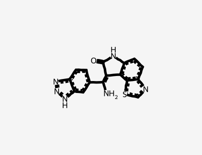 N/C(=C1/C(=O)Nc2ccc3ncsc3c21)c1ccc2nn[nH]c2c1